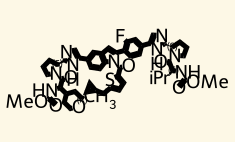 COC(=O)NC(C(=O)N1CCC[C@H]1c1ncc(-c2ccc3c(c2)cc2n3C(c3ccc(CC4CC4)s3)Oc3cc(-c4cnc([C@@H]5CCCN5C(=O)[C@@H](NC(=O)OC)C(C)C)[nH]4)cc(F)c3-2)[nH]1)C1CCO[C@H](C)C1